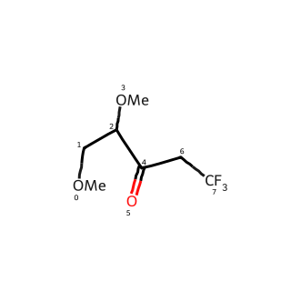 COCC(OC)C(=O)CC(F)(F)F